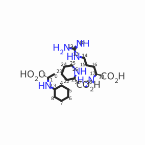 C[C@H](NC1CCCCC1)C(=O)O.N=C(N)NCCC[C@H](N)C(=O)O.O=C(O)[C@@H]1CCCCN1